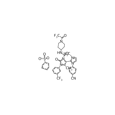 Cc1c(-c2n(-c3ccc(C#N)cc3)cc[n+]2C)n(C(=O)NC2CCN(C(=O)C(F)(F)F)CC2)c(=O)n1-c1cccc(C(F)(F)F)c1.O=S(=O)([O-])c1ccccc1